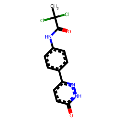 CC(Cl)(Cl)C(=O)Nc1ccc(-c2ccc(=O)[nH]n2)cc1